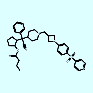 CCCC(=O)OC1CCCC1C(C#N)(c1ccccc1)C1CCN(CC2CN(c3ccc(S(=O)(=O)c4ccncc4)cc3)C2)CC1